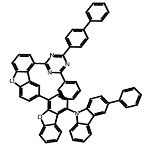 c1ccc(-c2ccc(-c3nc(-c4ccccc4)nc(-c4cccc5oc6ccc(-c7ccc(-n8c9ccccc9c9cc(-c%10ccccc%10)ccc98)c8c7oc7ccccc78)cc6c45)n3)cc2)cc1